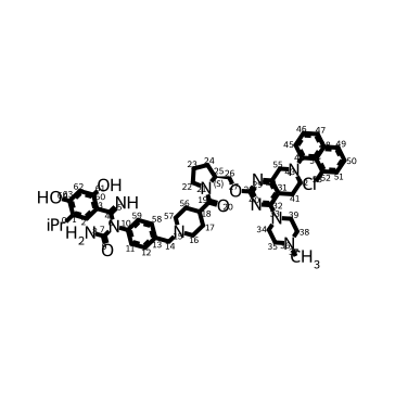 CC(C)c1cc(C(=N)N(C(N)=O)c2ccc(CN3CCC(C(=O)N4CCC[C@H]4COc4nc5c(c(N6CCN(C)CC6)n4)CCN(c4cccc6cccc(Cl)c46)C5)CC3)cc2)c(O)cc1O